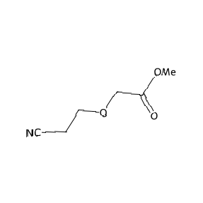 COC(=O)COCCC#N